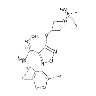 CS(=N)(=O)N1CC(Oc2nonc2/C(=N\O)N[C@H]2Cc3ccc(F)cc32)C1